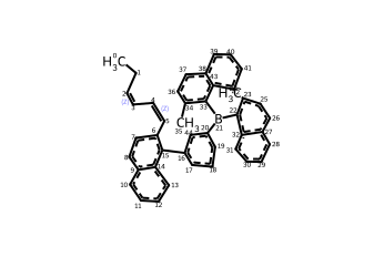 CC/C=C\C=C/c1ccc2ccccc2c1-c1cccc(B(c2c(C)ccc3ccccc23)c2c(C)ccc3ccccc23)c1